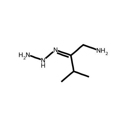 CC(C)/C(CN)=N\NN